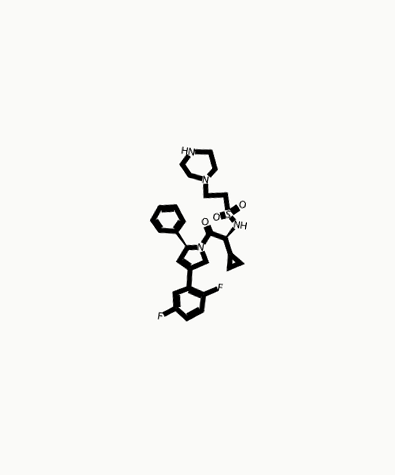 O=C([C@@H](NS(=O)(=O)CCN1CCNCC1)C1CC1)N1CC(c2cc(F)ccc2F)=C[C@H]1c1ccccc1